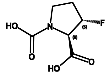 O=C(O)[C@@H]1[C@@H](F)CCN1C(=O)O